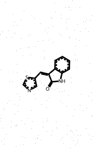 O=C1Nc2ccccc2C1=Cc1cncs1